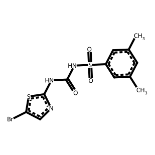 Cc1cc(C)cc(S(=O)(=O)NC(=O)Nc2ncc(Br)s2)c1